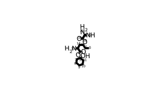 CC1OC(OC2(O)CCCCC2)C(N)CC1OC(=O)C(=N)N